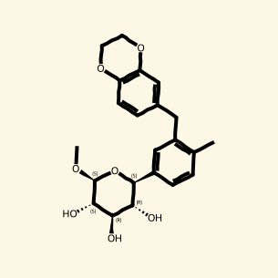 CO[C@H]1O[C@@H](c2ccc(C)c(Cc3ccc4c(c3)OCCO4)c2)[C@H](O)[C@@H](O)[C@@H]1O